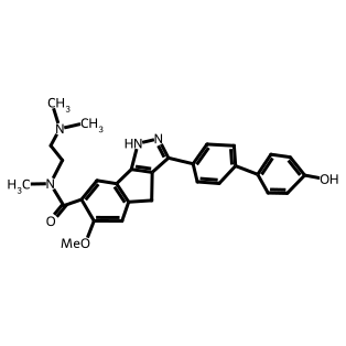 COc1cc2c(cc1C(=O)N(C)CCN(C)C)-c1[nH]nc(-c3ccc(-c4ccc(O)cc4)cc3)c1C2